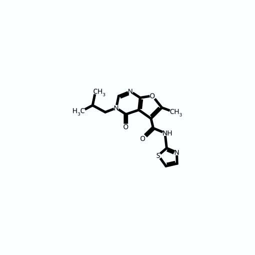 Cc1oc2ncn(CC(C)C)c(=O)c2c1C(=O)Nc1nccs1